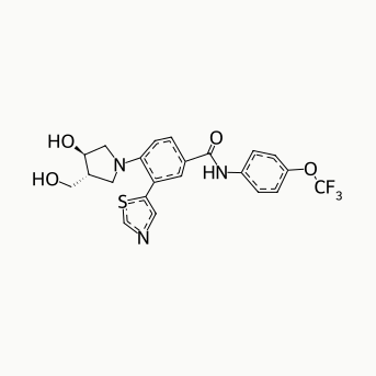 O=C(Nc1ccc(OC(F)(F)F)cc1)c1ccc(N2C[C@H](CO)[C@@H](O)C2)c(-c2cncs2)c1